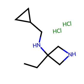 CCC1(NCC2CC2)CNC1.Cl.Cl